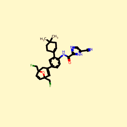 CC1(C)CC=C(c2cc(C3=CC4(CF)C=CC(CF)(C3)O4)ccc2NC(=O)c2ncc(C#N)[nH]2)CC1